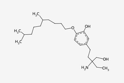 CCC(N)(CO)CCc1ccc(OCCCCC(C)CCCC(C)C)c(O)c1